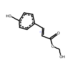 O=C(/C=C/c1ccc(O)cc1)OCO